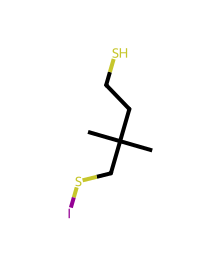 CC(C)(CCS)CSI